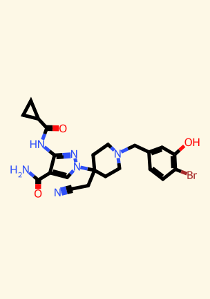 N#CCC1(n2cc(C(N)=O)c(NC(=O)C3CC3)n2)CCN(Cc2ccc(Br)c(O)c2)CC1